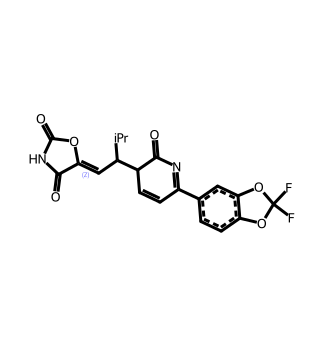 CC(C)C(/C=C1\OC(=O)NC1=O)C1C=CC(c2ccc3c(c2)OC(F)(F)O3)=NC1=O